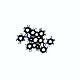 c1ccc(N(c2ccccc2)c2ccc3c(c2)C2(c4ccccc4-c4ccccc42)c2ccc(N(c4ccccc4)c4ccccc4)cc2C32c3ccccc3-c3ccccc32)cc1